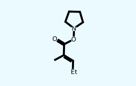 CCC=C(C)C(=O)ON1CCCC1